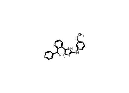 COc1cccc(Nc2nnc(-c3cccnc3C(N)c3ccncc3)[nH]2)c1